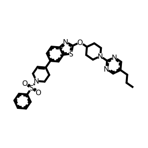 CCCc1cnc(N2CCC(Oc3nc4ccc(C5=CCN(S(=O)(=O)c6ccccc6)CC5)cc4s3)CC2)nc1